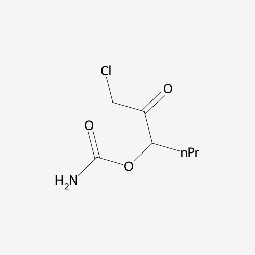 CCCC(OC(N)=O)C(=O)CCl